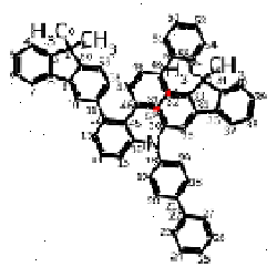 CC1(C)c2ccccc2-c2cc(-c3cccc(N(c4ccc(-c5ccccc5)cc4)c4ccc5c(c4)-c4ccccc4C5(C)C)c3-c3ccc(-c4ccccc4)cc3)ccc21